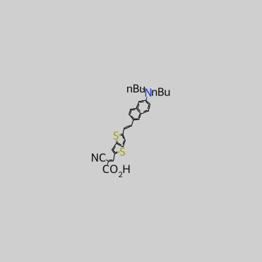 CCCCN(CCCC)c1ccc2cc(/C=C/c3cc4sc(/C=C(\C#N)C(=O)O)cc4s3)ccc2c1